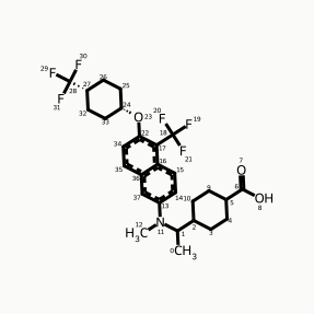 CC(C1CCC(C(=O)O)CC1)N(C)c1ccc2c(C(F)(F)F)c(O[C@H]3CC[C@@H](C(F)(F)F)CC3)ccc2c1